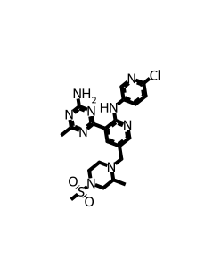 Cc1nc(N)nc(-c2cc(CN3CCN(S(C)(=O)=O)CC3C)cnc2Nc2ccc(Cl)nc2)n1